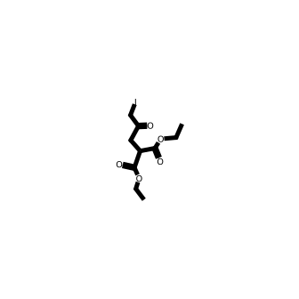 CCOC(=O)C(CC(=O)CI)C(=O)OCC